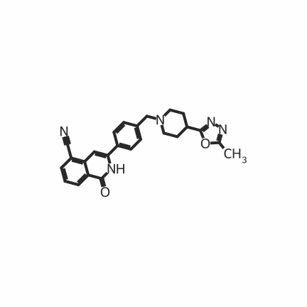 Cc1nnc(C2CCN(Cc3ccc(-c4cc5c(C#N)cccc5c(=O)[nH]4)cc3)CC2)o1